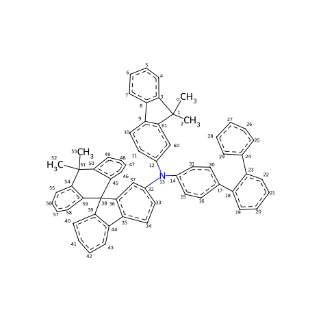 CC1(C)c2ccccc2-c2ccc(N(c3ccc(-c4ccccc4-c4ccccc4)cc3)c3ccc4c(c3)C3(c5ccccc5-4)c4ccccc4C(C)(C)c4ccccc43)cc21